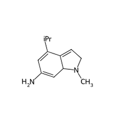 CC(C)C1=CC(N)=CC2C1=CCN2C